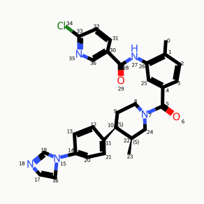 Cc1ccc(C(=O)N2CC[C@H](c3ccc(-n4ccnc4)cc3)[C@H](C)C2)cc1NC(=O)c1ccc(Cl)nc1